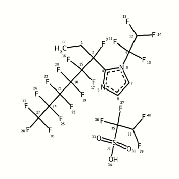 CCC(F)(c1nccn1C(F)(F)C(F)F)C(F)(F)C(F)(F)C(F)(F)C(F)(F)C(F)(F)F.O=S(=O)(O)C(F)(F)C(F)F